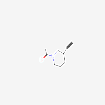 C#CC1CCCN(C(C)=O)C1